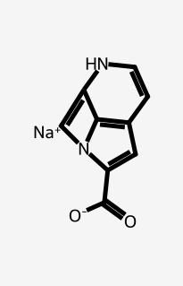 O=C([O-])c1cc2cc[nH]c3cn1c2-3.[Na+]